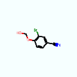 N#Cc1ccc(OCO)c(Br)c1